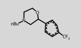 CCCCN1CCOC(c2ccc(C(F)(F)F)cc2)C1